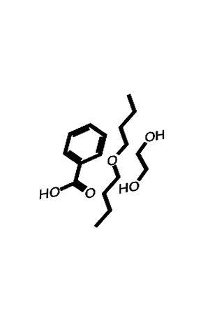 CCCCOCCCC.O=C(O)c1ccccc1.OCCO